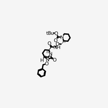 CC(C)(C)OC(=O)N1CCCC[C@@H]1CONC(=O)[C@@H]1CC[C@@H]2CN1C(=O)N2OCc1ccccc1